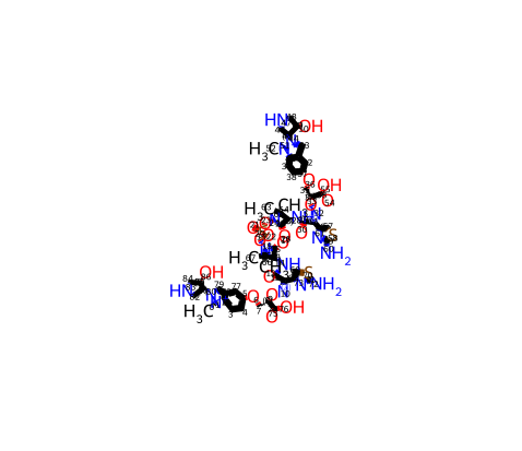 C[n+]1c2ccc(OC[C@H](O/N=C(\C(=O)N[C@@H]3C(=O)N(OS(=O)(=O)ON4C(=O)[C@@H](NC(=O)/C(=N\O[C@@H](COc5ccc6c(c5)cn([C@@H]5CNC[C@@H]5O)[n+]6C)C(=O)O)c5csc(N)n5)C4(C)C)C3(C)C)c3csc(N)n3)C(=O)O)cc2cn1[C@@H]1CNC[C@@H]1O